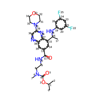 CC(C)OC(=O)N(C)CCNC(=O)c1cc(C(C)Nc2cc(F)cc(F)c2)c2nc(N3CCOCC3)cnc2c1